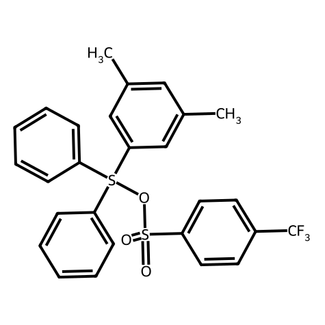 Cc1cc(C)cc(S(OS(=O)(=O)c2ccc(C(F)(F)F)cc2)(c2ccccc2)c2ccccc2)c1